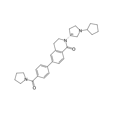 O=C(c1ccc(-c2ccc3c(c2)CCN([C@@H]2CCN(C4CCCC4)C2)C3=O)cc1)N1CCCC1